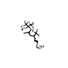 CC(CC(CCCO)C(F)(F)F)CC(F)(C(F)(F)F)C(F)(F)F